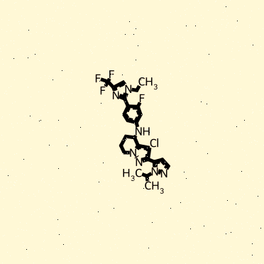 CCn1cc(C(F)(F)F)nc1-c1ccc(NC2CCCn3nc(-c4ccnn4C(C)C)c(Cl)c32)cc1F